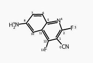 N#Cc1c(F)nc2ccc(N)cc2c1F